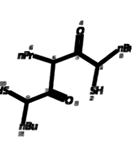 CCCCC(S)C(=O)C(CCC)C(=O)C(S)CCCC